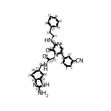 N#Cc1cccc(-c2cnc(NCCc3ccccc3)c(=O)n2CC(=O)NCc2ccc3nc(N)[nH]c3c2)c1